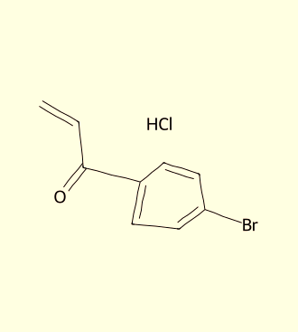 C=CC(=O)c1ccc(Br)cc1.Cl